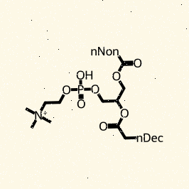 CCCCCCCCCCCC(=O)OC(COC(=O)CCCCCCCCC)COP(=O)(O)OCC[N+](C)(C)C